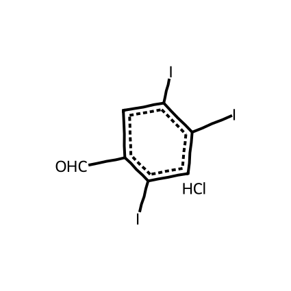 Cl.O=Cc1cc(I)c(I)cc1I